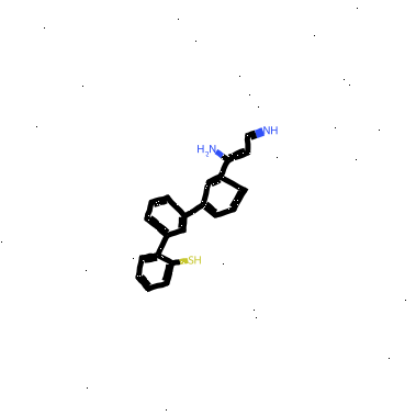 N=C/C=C(\N)c1cccc(-c2cccc(-c3ccccc3S)c2)c1